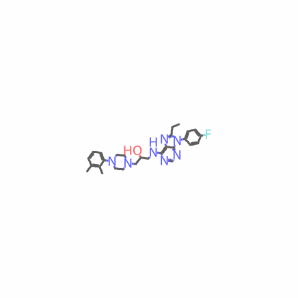 CCc1nc2c(NCC(O)CN3CCN(c4cccc(C)c4C)CC3)ncnc2n1-c1ccc(F)cc1